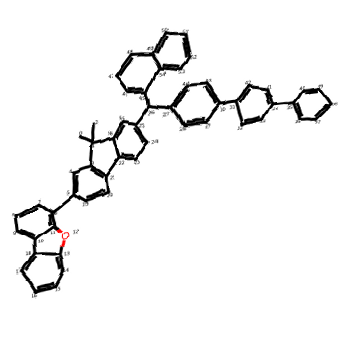 CC1(C)c2cc(-c3cccc4c3oc3ccccc34)ccc2-c2ccc(C(c3ccc(-c4ccc(-c5ccccc5)cc4)cc3)c3cccc4ccccc34)cc21